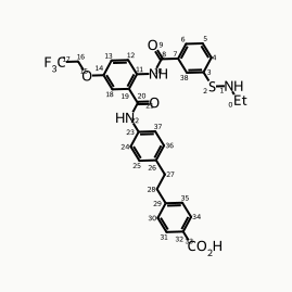 CCNSc1cccc(C(=O)Nc2ccc(OCC(F)(F)F)cc2C(=O)Nc2ccc(CCc3ccc(C(=O)O)cc3)cc2)c1